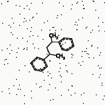 [CH2]C(CC(C)c1ccccc1)c1ccccc1